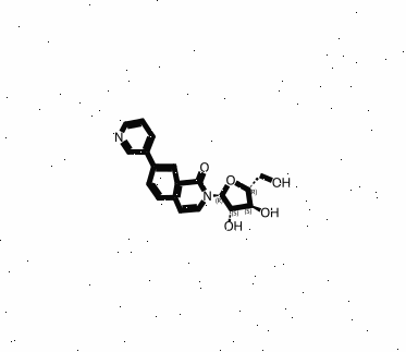 O=c1c2cc(-c3cccnc3)ccc2ccn1[C@@H]1O[C@H](CO)[C@@H](O)[C@@H]1O